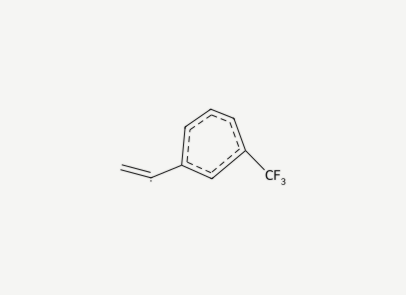 C=[C]c1cccc(C(F)(F)F)c1